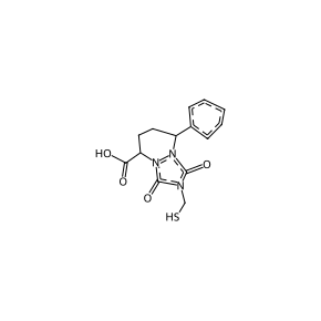 O=C(O)C1CCC(c2ccccc2)n2c(=O)n(CS)c(=O)n21